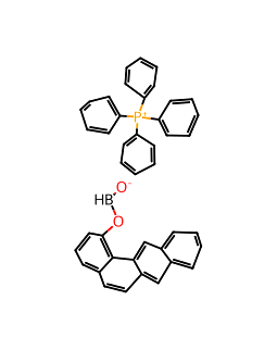 [O-]BOc1cccc2ccc3cc4ccccc4cc3c12.c1ccc([P+](c2ccccc2)(c2ccccc2)c2ccccc2)cc1